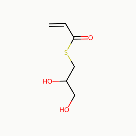 C=CC(=O)SCC(O)CO